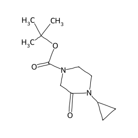 CC(C)(C)OC(=O)N1CCN(C2CC2)C(=O)C1